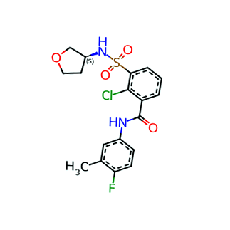 Cc1cc(NC(=O)c2cccc(S(=O)(=O)N[C@H]3CCOC3)c2Cl)ccc1F